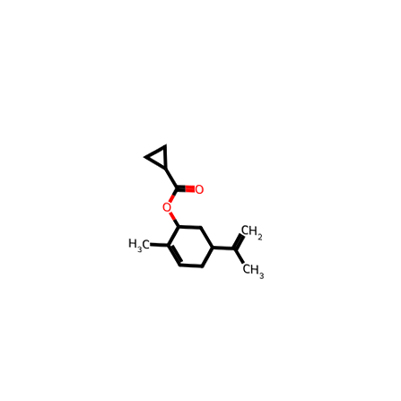 C=C(C)C1CC=C(C)C(OC(=O)C2CC2)C1